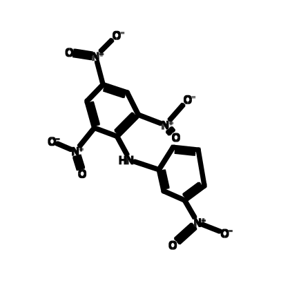 O=[N+]([O-])c1cccc(Nc2c([N+](=O)[O-])cc([N+](=O)[O-])cc2[N+](=O)[O-])c1